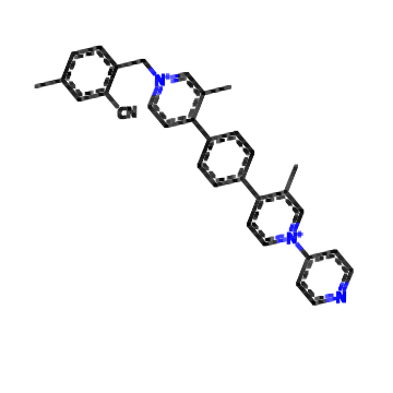 Cc1ccc(C[n+]2ccc(-c3ccc(-c4cc[n+](-c5ccncc5)cc4C)cc3)c(C)c2)c(C#N)c1